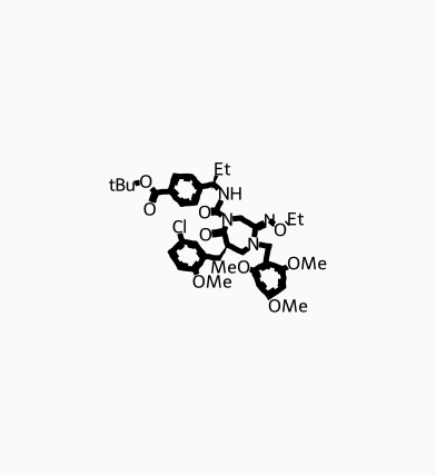 CCO/N=C1/CN(C(=O)N[C@H](CC)c2ccc(C(=O)OC(C)(C)C)cc2)C(=O)[C@H](Cc2cc(Cl)ccc2OC)CN1Cc1c(OC)cc(OC)cc1OC